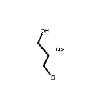 OCCCCl.[Na]